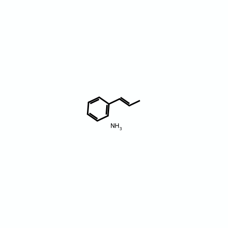 CC=Cc1ccccc1.N